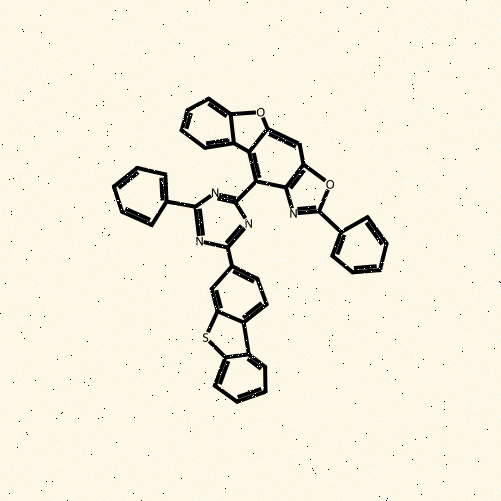 c1ccc(-c2nc(-c3ccc4c(c3)sc3ccccc34)nc(-c3c4nc(-c5ccccc5)oc4cc4oc5ccccc5c34)n2)cc1